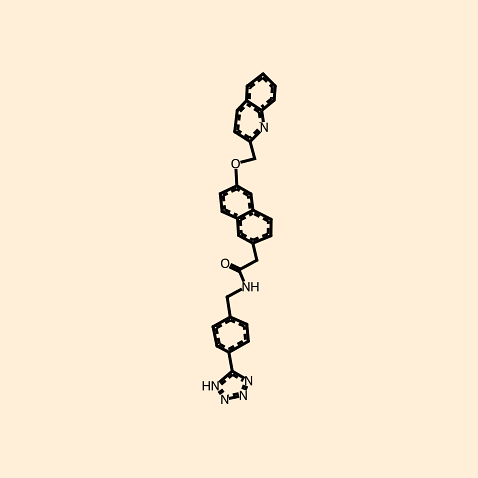 O=C(Cc1ccc2cc(OCc3ccc4ccccc4n3)ccc2c1)NCc1ccc(-c2nnn[nH]2)cc1